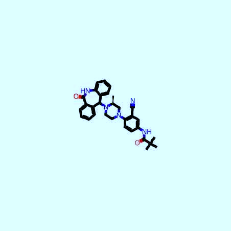 C[C@H]1CN(c2ccc(NC(=O)C(C)(C)C)cc2C#N)CCN1C1c2ccccc2NC(=O)c2ccccc21